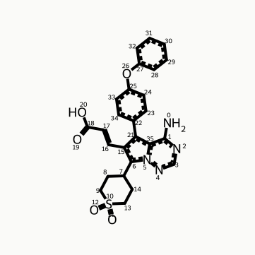 Nc1ncnn2c(C3CCS(=O)(=O)CC3)c(C=CC(=O)O)c(-c3ccc(Oc4ccccc4)cc3)c12